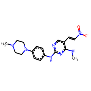 CNc1nc(Nc2ccc(N3CCN(C)CC3)cc2)ncc1C=C[N+](=O)[O-]